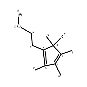 CC1=C(C)[C](C)([K])C(CCOC(C)C)=C1C